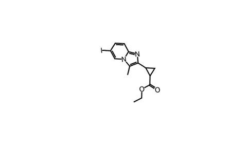 CCOC(=O)C1CC1c1nc2ccc(I)cn2c1C